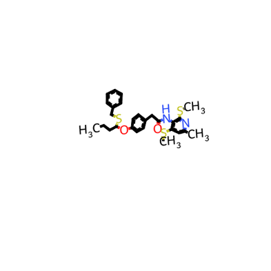 CCCC(Oc1ccc(CC(=O)Nc2c(SC)cc(C)nc2SC)cc1)SCc1ccccc1